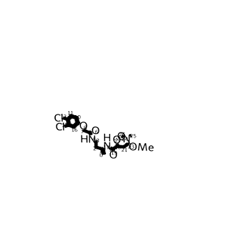 C=C(CCNC(=O)COc1ccc(Cl)c(Cl)c1)NC(=O)C1CC(OC)N(C)OO1